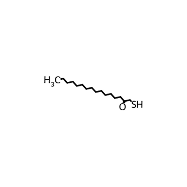 CCCCCCCCCCCCCCC(=O)CS